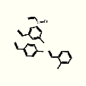 C=COCC.C=Cc1ccc(C)cc1.C=Cc1cccc(C)c1.C=Cc1ccccc1C